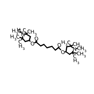 CN1C(C)(C)CC(OC(=O)CCCCCC(=O)OC2CC(C)(C)N(C)C(C)(C)C2)CC1(C)C